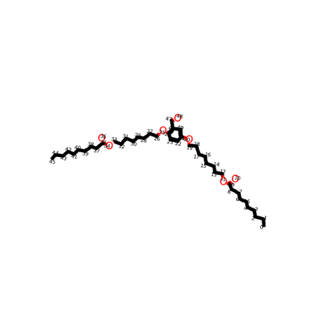 CCCCCCCCCC(=O)OCCCCCCCCOc1ccc(OCCCCCCCCOC(=O)CCCCCCCCC)c(C=O)c1